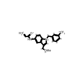 C=CC(=O)Nc1ccc2c(c1)c(COC)cn2Cc1cccc(C(F)(F)F)c1